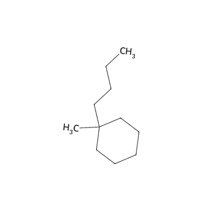 CCCCC1(C)CCCCC1